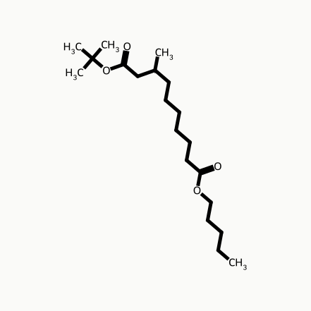 CCCCCOC(=O)CCCCCC[C](C)CC(=O)OC(C)(C)C